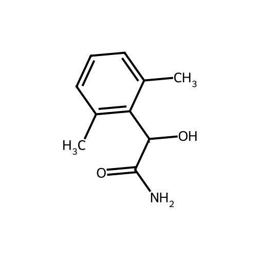 Cc1cccc(C)c1[C](O)C(N)=O